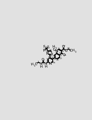 CCNC(=O)Nc1cc(-c2nc(C(F)(F)F)cs2)c(-c2ccc3c(=O)c(C(=O)OCC)cn(C)c3c2)cn1